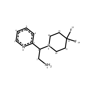 NCC(c1ccccn1)N1CCC(F)(F)CC1